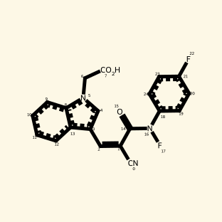 N#CC(=Cc1cn(CC(=O)O)c2ccccc12)C(=O)N(F)c1ccc(F)cc1